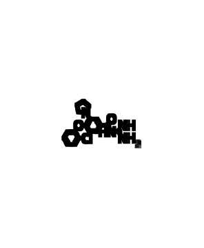 N=C(N)NC(=O)c1ccc(Oc2ccccc2Cl)c(N2CCCC2)c1